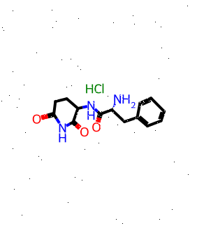 Cl.N[C@H](Cc1ccccc1)C(=O)NC1CCC(=O)NC1=O